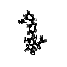 Cc1nc(NCc2ccc(-c3ccccc3C#N)cc2)c(NC(=O)C2CC2)c(C)c1Cl